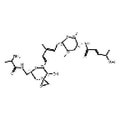 CC(=O)OC(C)C=CC(=O)N[C@@H]1C[C@H](C)[C@H](CC=C(C)C=C[C@H]2O[C@H](CNC(=O)C(C)N)C[C@@]3(CO3)[C@@H]2O)O[C@@H]1C